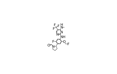 CNc1nc(Nc2cc(F)c(C3CCCN3C=O)cc2OCF)ncc1C(F)(F)F